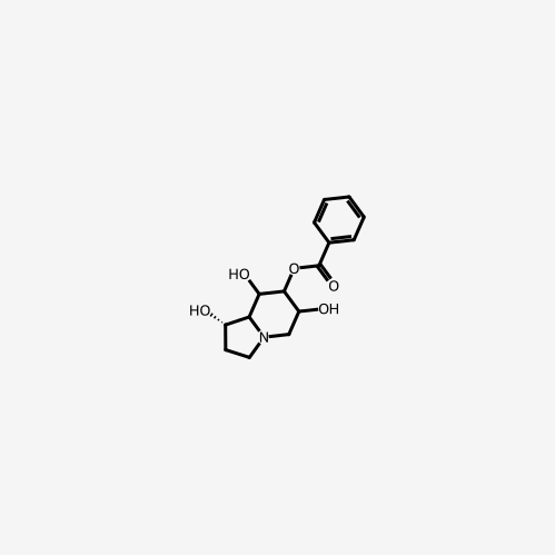 O=C(OC1C(O)CN2CC[C@H](O)C2C1O)c1ccccc1